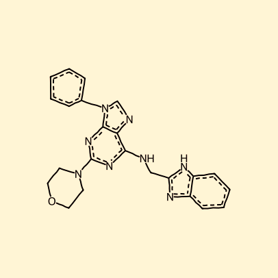 c1ccc(-n2cnc3c(NCc4nc5ccccc5[nH]4)nc(N4CCOCC4)nc32)cc1